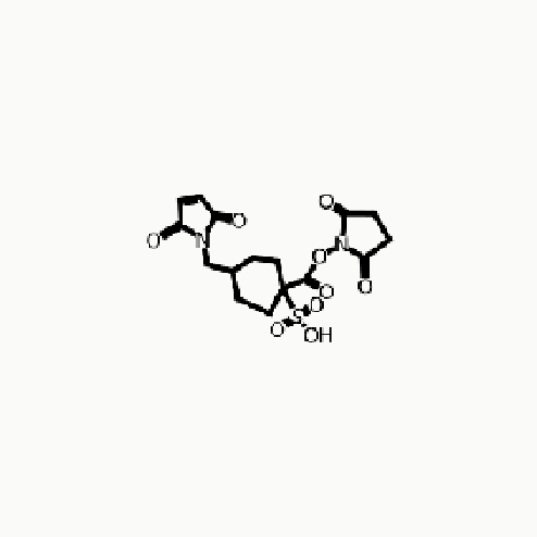 O=C1C=CC(=O)N1CC1CCC(C(=O)ON2C(=O)CCC2=O)(S(=O)(=O)O)CC1